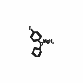 Fc1ccc(Oc2c[c]ccc2)cc1.[MgH2]